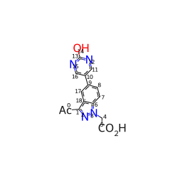 CC(=O)c1nn(CC(=O)O)c2ccc(-c3cnc(O)nc3)cc12